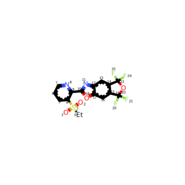 CCS(=O)(=O)c1cccnc1-c1nc2cc3c(cc2o1)C(F)(F)OC3(F)F